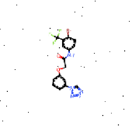 O=C(COc1cccc(-n2cnnn2)c1)Nc1ccc(Br)c(C(F)(F)F)c1